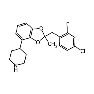 CC1(Cc2ccc(Cl)cc2F)Oc2cccc(C3CCNCC3)c2O1